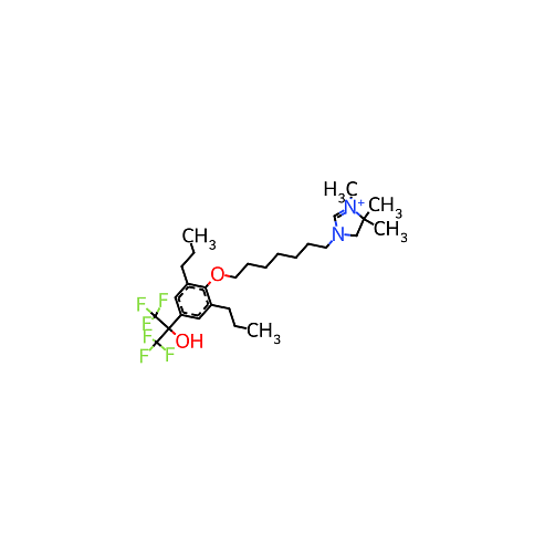 CCCc1cc(C(O)(C(F)(F)F)C(F)(F)F)cc(CCC)c1OCCCCCCCN1C=[N+](C)C(C)(C)C1